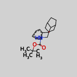 CC(C)(C)OC(=O)NCC1CC2CCC(C1)C2Cc1ccccc1